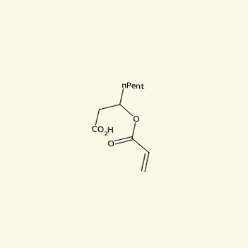 C=CC(=O)OC(CCCCC)CC(=O)O